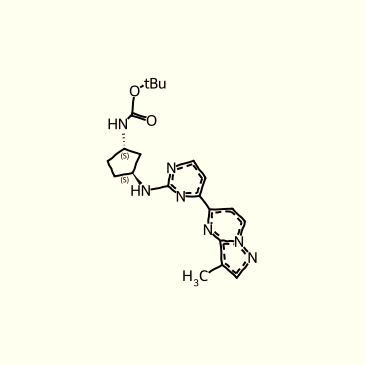 Cc1cnn2ccc(-c3ccnc(N[C@H]4CC[C@H](NC(=O)OC(C)(C)C)C4)n3)nc12